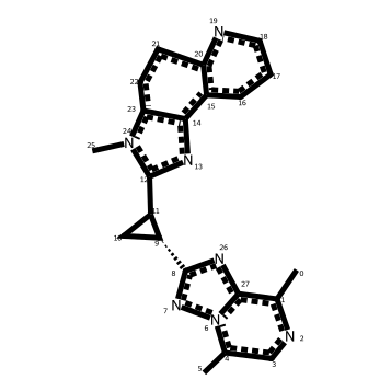 Cc1ncc(C)n2nc([C@@H]3CC3c3nc4c5cccnc5ccc4n3C)nc12